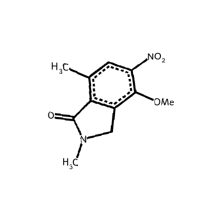 COc1c([N+](=O)[O-])cc(C)c2c1CN(C)C2=O